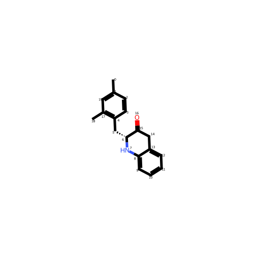 Cc1ccc(C[C@H]2Nc3ccccc3CC2=O)c(C)c1